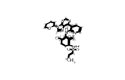 CCCS(=O)(=O)Nc1ccc(Cl)c(Nc2ncccc2-c2ncnc3c2ncn3C2CCCCO2)c1F